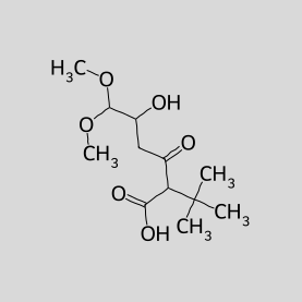 COC(OC)C(O)CC(=O)C(C(=O)O)C(C)(C)C